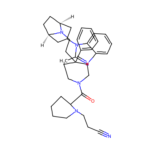 Cc1nc2ccccc2n1C1C[C@H]2CC[C@@H](C1)N2CCC1(c2ccccc2)CCN(C(=O)C2CCCCN2CCC#N)CC1